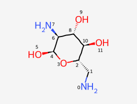 NC[C@@H]1O[C@@H](O)[C@@H](N)[C@H](O)[C@H]1O